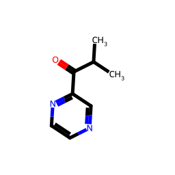 CC(C)C(=O)c1cnccn1